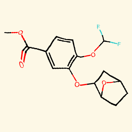 COC(=O)c1ccc(OC(F)F)c(OC2CC3CCC2O3)c1